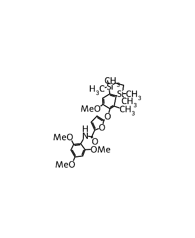 COc1cc(OC)c(NC(=O)c2ccc(Oc3c(OC)cc4c(c3C)[Si](C)(C)CC[Si]4(C)C)o2)c(OC)c1